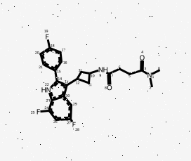 CN(C)C(=O)CCC(=O)NC1CC(c2c(-c3ccc(F)cc3)[nH]c3c(F)cc(F)cc23)C1